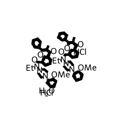 CCN(C(=O)c1cccc2c(=O)c(C)c(-c3ccccc3)oc12)N1CCN(c2ccccc2OC)CC1.CCN(C(=O)c1cccc2c(=O)c(C)c(-c3ccccc3)oc12)N1CCN(c2ccccc2OC)CC1.Cl.Cl.O